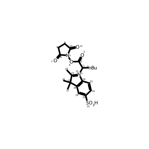 CCCCC(C(=O)ON1C(=O)CCC1=O)[N+]1=C(C)C(C)(C)c2cc(S(=O)(=O)O)ccc21